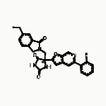 CCc1ccc2c(c1)C(=O)N(C[C@@]1(c3cc4cc(-c5ccccc5F)ncc4o3)NC(=O)NC1=O)C2